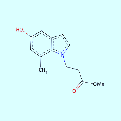 COC(=O)CCn1ccc2cc(O)cc(C)c21